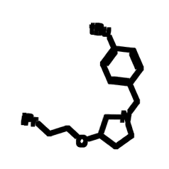 CC(C)CCOC1CCN(Cc2ccc(C(C)(C)C)cc2)C1